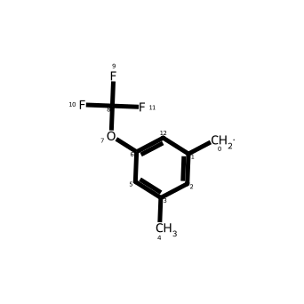 [CH2]c1cc(C)cc(OC(F)(F)F)c1